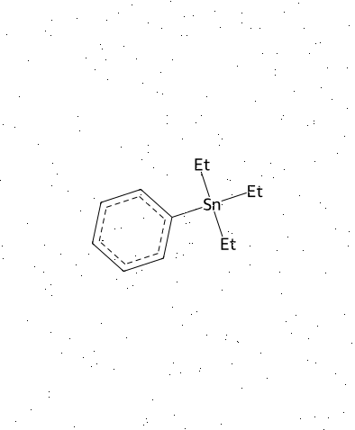 C[CH2][Sn]([CH2]C)([CH2]C)[c]1ccccc1